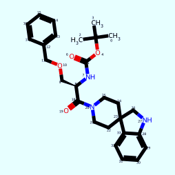 CC(C)(C)OC(=O)N[C@H](COCc1ccccc1)C(=O)N1CCC2(CC1)CNc1ccccc12